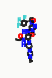 C=CC(=O)Nc1cc(Nc2cc(N3OCC[C@@H]3c3ccc(F)c(F)c3F)ncn2)c(OC)cc1N1CCC(N2CCN(C3CC3)CC2)CC1